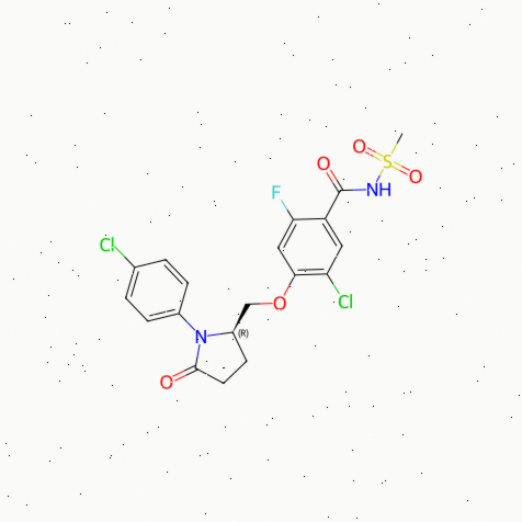 CS(=O)(=O)NC(=O)c1cc(Cl)c(OC[C@H]2CCC(=O)N2c2ccc(Cl)cc2)cc1F